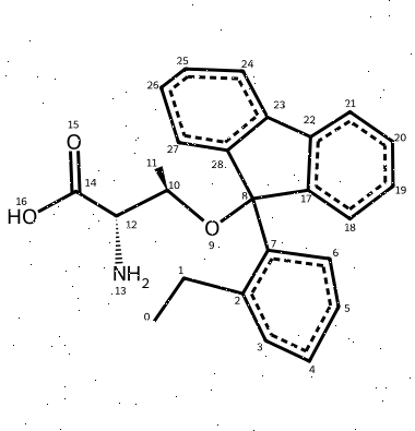 CCc1ccccc1C1(O[C@H](C)[C@H](N)C(=O)O)c2ccccc2-c2ccccc21